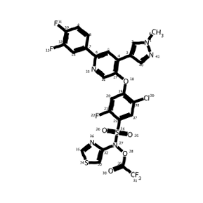 Cn1cc(-c2cc(-c3ccc(F)c(F)c3)ncc2Oc2cc(F)c(S(=O)(=O)N(OC(=O)C(F)(F)F)c3cscn3)cc2Cl)cn1